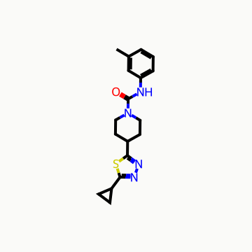 Cc1cccc(NC(=O)N2CCC(c3nnc(C4CC4)s3)CC2)c1